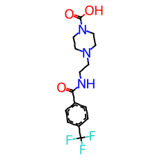 O=C(NCCN1CCN(C(=O)O)CC1)c1ccc(C(F)(F)F)cc1